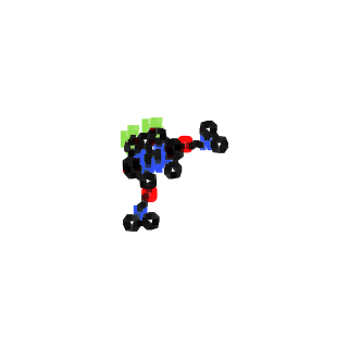 FC(F)(F)c1cc(-c2c(-n3c4ccccc4c4ccccc43)c(-n3c4ccccc4c4cc(OCCCn5c6ccccc6c6ccccc65)ccc43)nc(-n3c4ccccc4c4cc(OCCCn5c6ccccc6c6ccccc65)ccc43)c2-n2c3ccccc3c3ccccc32)cc(C(F)(F)F)c1